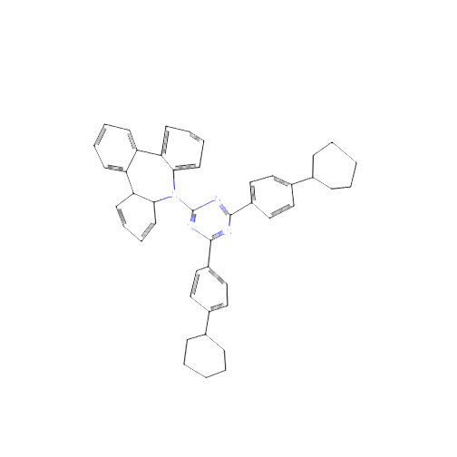 C1=CC2c3ccccc3-c3ccccc3N(c3nc(-c4ccc(C5CCCCC5)cc4)nc(-c4ccc(C5CCCCC5)cc4)n3)C2C=C1